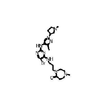 Cc1nn(C2CCN(C)C2)cc1Nc1ncc(Br)c(NCCCN2CCN(C)CCC2=O)n1